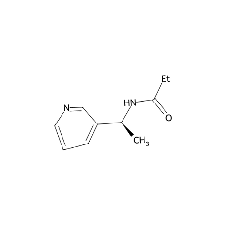 CCC(=O)N[C@@H](C)c1cccnc1